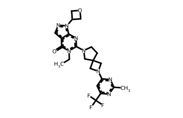 CCn1c(N2CCC3(CN(c4cc(C(F)(F)F)nc(C)n4)C3)C2)nc2c(cnn2C2COC2)c1=O